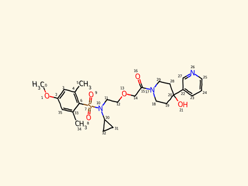 COc1cc(C)c(S(=O)(=O)N(CCOCC(=O)N2CCC(O)(c3cccnc3)CC2)C2CC2)c(C)c1